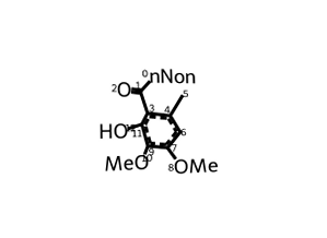 CCCCCCCCCC(=O)c1c(C)cc(OC)c(OC)c1O